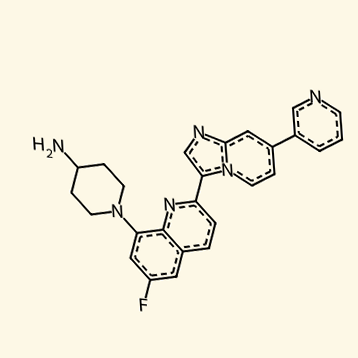 NC1CCN(c2cc(F)cc3ccc(-c4cnc5cc(-c6cccnc6)ccn45)nc23)CC1